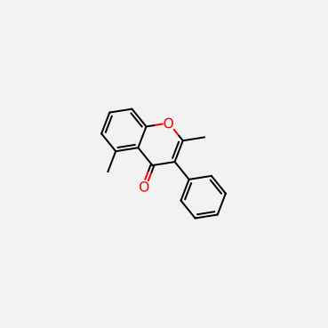 Cc1oc2cccc(C)c2c(=O)c1-c1ccccc1